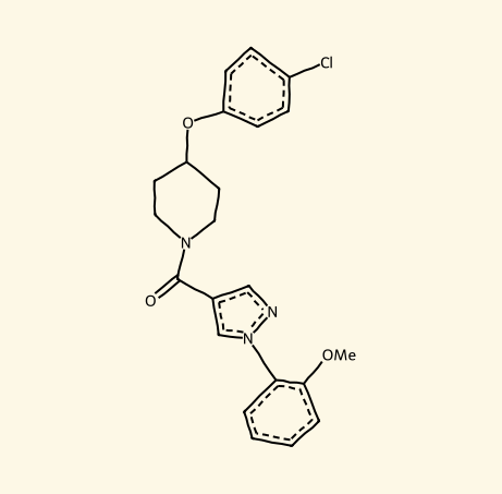 COc1ccccc1-n1cc(C(=O)N2CCC(Oc3ccc(Cl)cc3)CC2)cn1